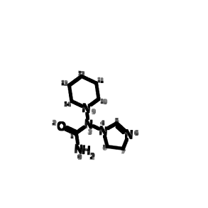 NC(=O)N(N1C=NCC1)N1CCCCC1